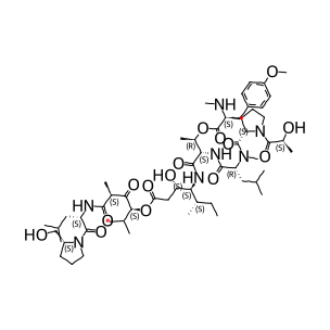 CC[C@H](C)[C@H](NC(=O)[C@@H](NC(=O)[C@@H](CC(C)C)N(C)C(=O)[C@@H]1CCCN1C(=O)[C@H](C)O)[C@@H](C)OC(=O)[C@H](Cc1ccc(OC)cc1)NC)[C@@H](O)CC(=O)O[C@H](C(=O)[C@H](C)C(=O)N[C@@H](CC(C)C)C(=O)N1CCC[C@H]1CO)C(C)C